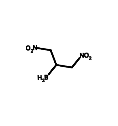 BC(C[N+](=O)[O-])C[N+](=O)[O-]